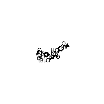 C[C@H]1COC[C@@H](c2ccc(-n3c(Cl)cc4c(=O)n(CC5(O)CCN(C(=O)C6(C)CC6)CC5)cnc43)cc2)N1C(=O)OC(C)(C)C